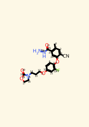 Cc1cc(C#N)c(Oc2ccc(OCCCN3CCOC3=O)cc2F)cc1C(=O)NN